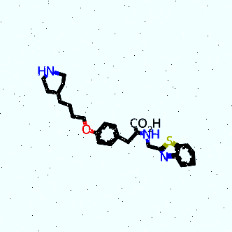 O=C(O)C(Cc1ccc(OCCCCC2CCNCC2)cc1)NCc1nc2ccccc2s1